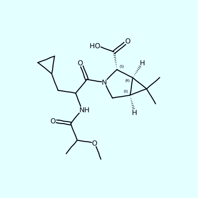 COC(C)C(=O)NC(CC1CC1)C(=O)N1C[C@H]2[C@@H]([C@H]1C(=O)O)C2(C)C